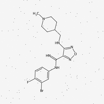 CN1CCC(CNc2nonc2C(=N)Nc2ccc(F)c(Br)c2)CC1